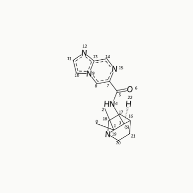 CC1(C)[C@@H](NC(=O)c2cn3ccnc3cn2)C2CCN1CC2